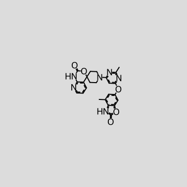 Cc1nc(Oc2cc(C)c3[nH]c(=O)oc3c2)cc(N2CCC3(CC2)OC(=O)Nc2ncccc23)n1